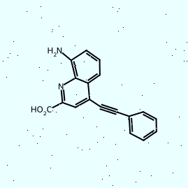 Nc1cccc2c(C#Cc3ccccc3)cc(C(=O)O)nc12